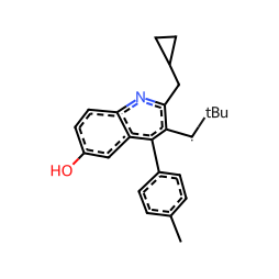 Cc1ccc(-c2c([CH]C(C)(C)C)c(CC3CC3)nc3ccc(O)cc23)cc1